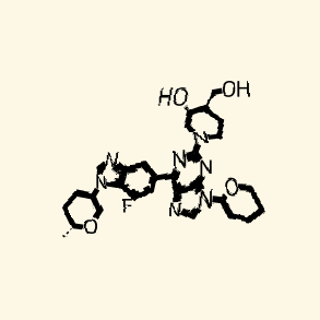 C[C@@H]1CCC(n2cnc3cc(-c4nc(N5CC[C@H](CO)[C@@H](O)C5)nc5c4ncn5C4CCCCO4)cc(F)c32)CO1